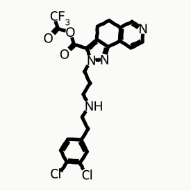 O=C(OC(=O)C(F)(F)F)c1c2c(nn1CCCNCCc1ccc(Cl)c(Cl)c1)-c1ccncc1CC2